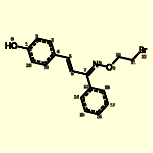 Oc1ccc(C=CC(=NOCCBr)c2ccccc2)cc1